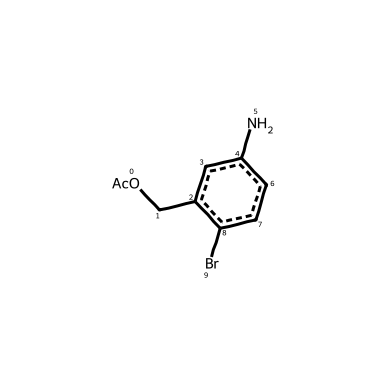 CC(=O)OCc1cc(N)ccc1Br